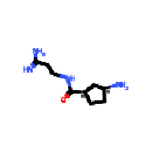 N=C(N)CCNC(=O)[C@@H]1CC[C@H](N)C1